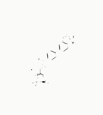 CC(C)(F)C[C@H](N[C@@H](c1ccc(-c2ccc3c(c2)CNS3(=O)=O)cc1)C(F)(F)F)C(=O)NC1(C#N)CC1